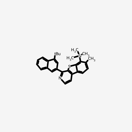 Cc1ccc2c(sc3c(-c4cc(C(C)(C)C)c5ccccc5c4)nccc32)c1[Si](C)(C)C